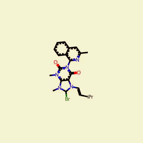 Cc1cc2ccccc2c(-n2c(=O)c3c(n(C)c2=O)N(C)C(Br)N3C=CC(C)C)n1